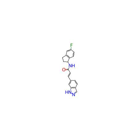 O=C(/C=C/c1ccc2cn[nH]c2c1)NC1CCc2cc(F)ccc21